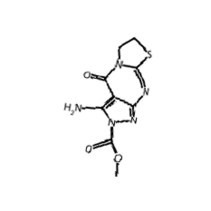 COC(=O)n1nc2nc3n(c(=O)c2c1N)CCS3